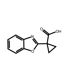 O=C(O)C1(c2nc3ccccc3o2)CC1